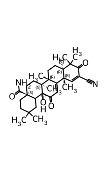 CC1(C)CC[C@]2(C(N)=O)CC[C@@]3(C)[C@]4(C)CC[C@H]5C(C)(C)C(=O)C(C#N)=C[C@]5(C)C4=CC(=O)[C@]3(O)C2C1